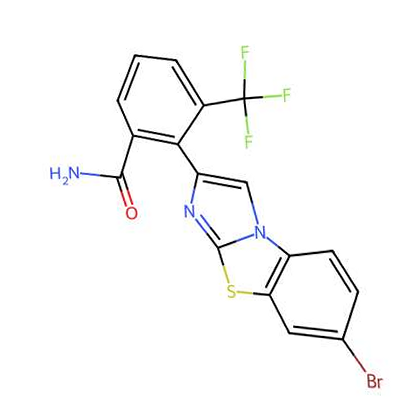 NC(=O)c1cccc(C(F)(F)F)c1-c1cn2c(n1)sc1cc(Br)ccc12